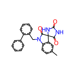 Cc1ccc2c(c1)C1(NC(=O)NC1=O)C(=O)N2Cc1ccccc1-c1ccccc1